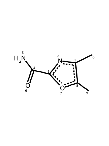 Cc1nc(C(N)=O)oc1C